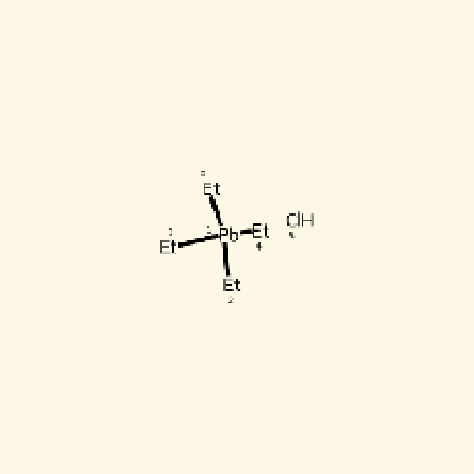 C[CH2][Pb]([CH2]C)([CH2]C)[CH2]C.Cl